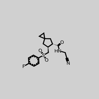 N#CCNC(=O)[C@H]1CC2(CC2)C[C@@H]1CS(=O)(=O)c1ccc(F)cc1